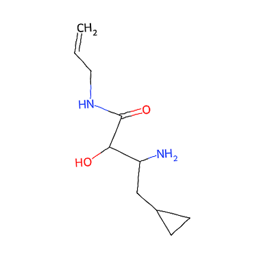 C=CCNC(=O)C(O)C(N)CC1CC1